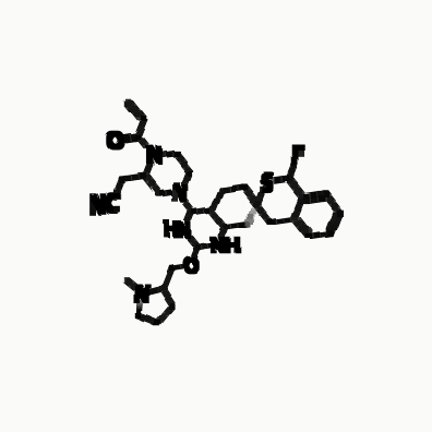 C=CC(=O)N1CCN(C2NC(OCC3CCCN3C)NC3C[C@@]4(CCC32)Cc2ccccc2C(F)S4)CC1CC#N